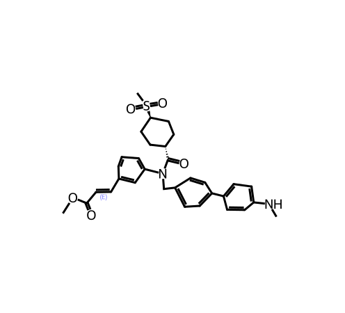 CNc1ccc(-c2ccc(CN(c3cccc(/C=C/C(=O)OC)c3)C(=O)[C@H]3CC[C@H](S(C)(=O)=O)CC3)cc2)cc1